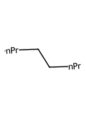 C[CH]CCC[CH]CC